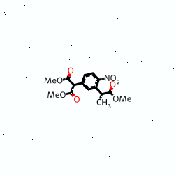 COC(=O)C(C)c1cc(C(C(=O)OC)C(=O)OC)ccc1[N+](=O)[O-]